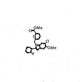 COC(=O)c1cccc(Cn2c(-c3ccccc3F)cc3cc(OC)c(Cl)cc32)n1